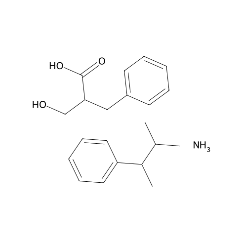 CC(C)C(C)c1ccccc1.N.O=C(O)C(CO)Cc1ccccc1